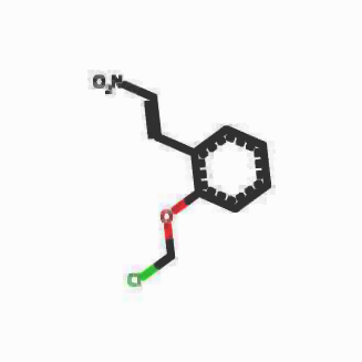 O=[N+]([O-])/C=C/c1ccccc1OCCl